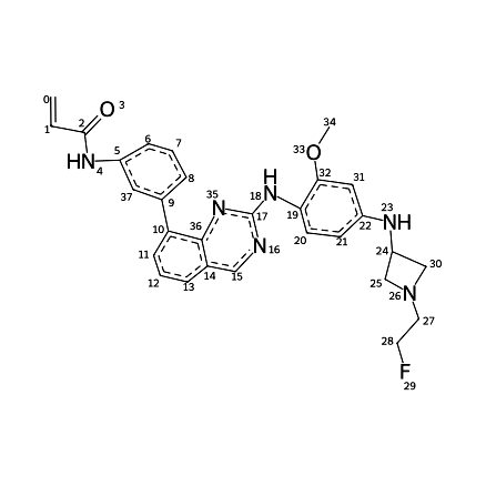 C=CC(=O)Nc1cccc(-c2cccc3cnc(Nc4ccc(NC5CN(CCF)C5)cc4OC)nc23)c1